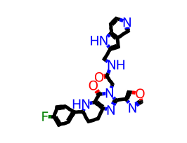 O=C(Cn1c(-c2cocn2)nc2c(c1=O)NC(c1ccc(F)cc1)CC2)NCc1cc2cnccc2[nH]1